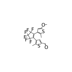 COc1cc(C2=C(c3cc(C=O)sc3C)C(F)(F)C(F)(F)C2(F)F)c(C)s1